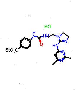 CCOC(=O)c1ccc(NC(=O)NCCN2CCN=C2Nc2cc(C)nc(C)n2)cc1.Cl